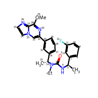 CCN(C(=O)N[C@H](C)c1cccc(F)c1)[C@H](C)c1cccc(-c2cn3ccnc3c(OC)n2)c1